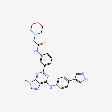 Cn1cnc2c(Nc3ccc(-c4cn[nH]c4)cc3)nc(-c3cccc(NC(=O)CN4CCOCC4)c3)nc21